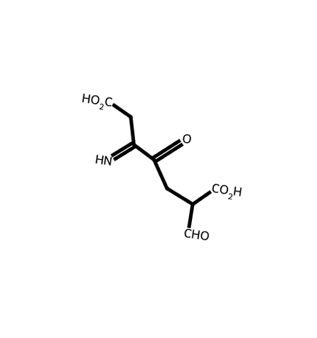 N=C(CC(=O)O)C(=O)CC(C=O)C(=O)O